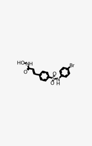 O=C(C=Cc1ccc(S(=O)(=O)Nc2ccc(Br)cc2)cc1)NO